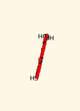 O=P(O)(O)CCCCCCCCCCCCCCCCCCCCCCCCCCCCCCCCCCCCCCS